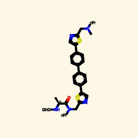 CCCN(C)Cc1ncc(-c2ccc(-c3ccc(-c4cnc(CN(CCC)C(=O)[C@H](C)NC=O)s4)cc3)cc2)s1